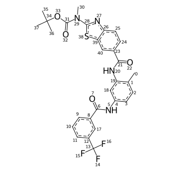 Cc1ccc(NC(=O)c2cccc(C(F)(F)F)c2)cc1NC(=O)c1ccc2nc(N(C)C(=O)OC(C)(C)C)sc2c1